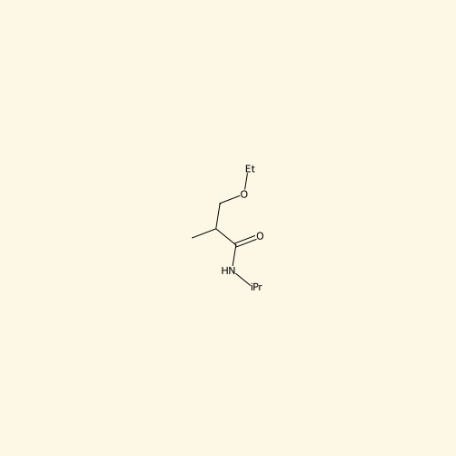 CCOCC(C)C(=O)NC(C)C